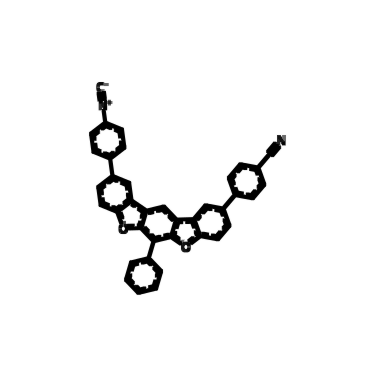 [C-]#[N+]c1ccc(-c2ccc3oc4c(-c5ccccc5)c5oc6ccc(-c7ccc(C#N)cc7)cc6c5cc4c3c2)cc1